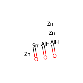 [O]=[AlH].[O]=[AlH].[O]=[Sn].[Zn].[Zn].[Zn]